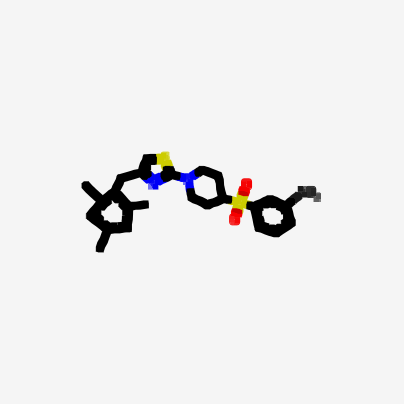 Cc1cc(C)c(Cc2csc(N3CCC(S(=O)(=O)c4cccc([N+](=O)[O-])c4)CC3)n2)c(C)c1